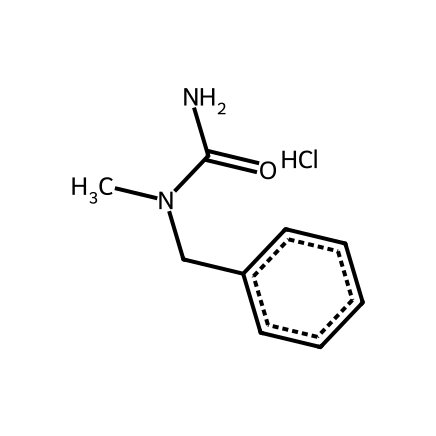 CN(Cc1ccccc1)C(N)=O.Cl